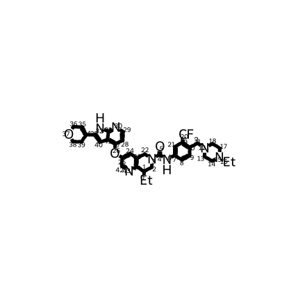 CCC1CN(C(=O)Nc2ccc(CN3CCN(CC)CC3)c(C(F)(F)F)c2)Cc2cc(Oc3ccnc4[nH]c(C5=CCOCC5)cc34)cnc21